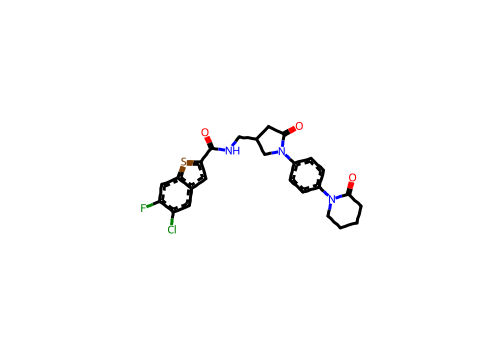 O=C(NCC1CC(=O)N(c2ccc(N3CCCCC3=O)cc2)C1)c1cc2cc(Cl)c(F)cc2s1